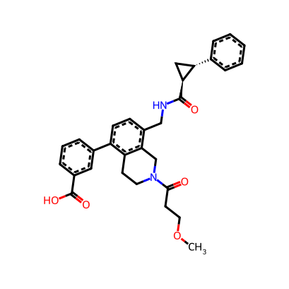 COCCC(=O)N1CCc2c(-c3cccc(C(=O)O)c3)ccc(CNC(=O)[C@H]3C[C@@H]3c3ccccc3)c2C1